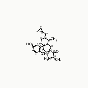 Cc1ccc(O)cc1C12CCN(C(=O)C(C)N)CC1C(C)N(CC1CC1)CC2